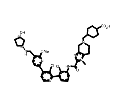 COc1nc(-c2ccnc(-c3cccc(NC(=O)c4nc5c(n4C)CCN(CC4CCC(C(=O)O)CC4)C5)c3Cl)c2Cl)ccc1CN[C@H]1CC[C@H](O)C1